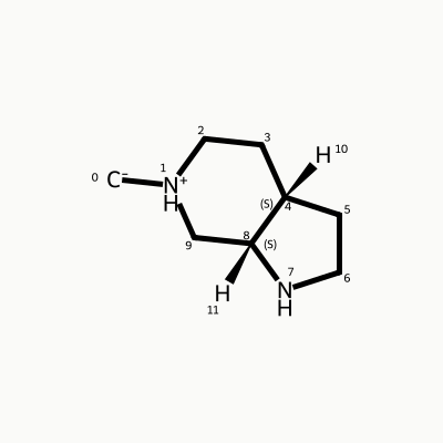 [CH2-][NH+]1CC[C@@H]2CCN[C@@H]2C1